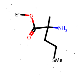 CCOC(=O)C(C)(N)CCSC